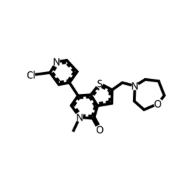 Cn1cc(-c2ccnc(Cl)c2)c2sc(CN3CCCOCC3)cc2c1=O